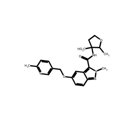 Cc1ccc(COc2ccc3nn(C)c(C(=O)NC4(C(=O)O)CCOC4C)c3c2)cn1